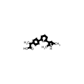 Cc1cc(-c2cccc(-c3ccc(C(C)C(=O)O)cc3)n2)c(C)[nH]1